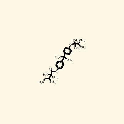 CC(C)C(C)(C)Oc1ccc(C(C)(C)c2ccc(OC(=O)C(C)(C)C(C)CN)cc2)cc1